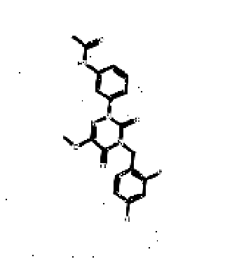 COc1nn(-c2cccc(NC(C)=O)c2)c(=O)n(Cc2ccc(Cl)cc2F)c1=O